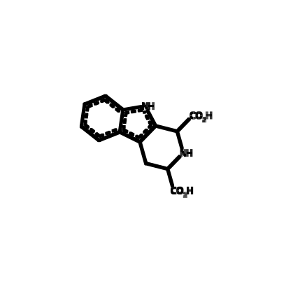 O=C(O)C1Cc2c([nH]c3ccccc23)C(C(=O)O)N1